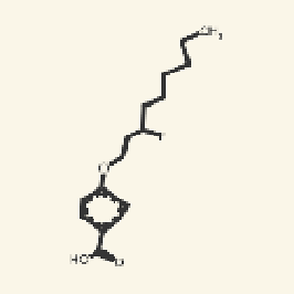 CCCCCCC(F)CCOc1ccc(C(=O)O)cc1